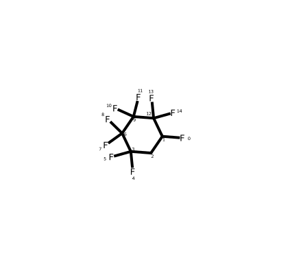 F[C]1CC(F)(F)C(F)(F)C(F)(F)C1(F)F